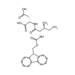 CC[C@H](C)[C@H](NC(=O)OCC1c2ccccc2-c2ccccc21)C(=O)N[C@@H](CC(=O)O)C(=O)O